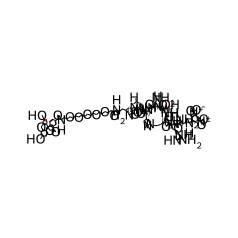 CC(C)C[C@H](NC(=O)[C@@H]1CC2=CN(CCCC[C@H](NC(=O)[C@H](CCCNC(=N)N)NC(=O)[C@@H](N)CCNc3cc([N+](=O)[O-])cc([N+](=O)[O-])c3)C(=O)N[C@@H]([C@@H](C)O)C(=O)N[C@@H](CCN)C(=O)N1)N1CC1C2)C(=O)N[C@@H](CCCCNC(=O)CCOCCOCCOCCOCCOCCNC(=O)c1ccc2c(c1)C(=O)OC21c2ccc(O)cc2Oc2cc(O)ccc21)C(N)=O